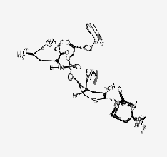 COC(=O)COP(=O)(N[C@@H](CC(C)C)C(=O)OC)OC1[C@H]2S[C@@H](n3ccc(N)nc3=O)[C@@H](O)[C@@]12O